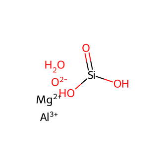 O.O=[Si](O)O.[Al+3].[Mg+2].[O-2]